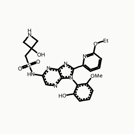 CCOC1=NC(c2nc3nc(NS(=O)(=O)CC4(O)CNC4)cnc3n2-c2c(O)cccc2OC)=C=C=C1